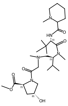 COC(=O)[C@@H]1C[C@@H](O)CN1C(=O)CN(C)C[C@H](C(C)C)N(C)C(=O)[C@@H](NC(=O)C1CCCCN1C)C(C)(C)C